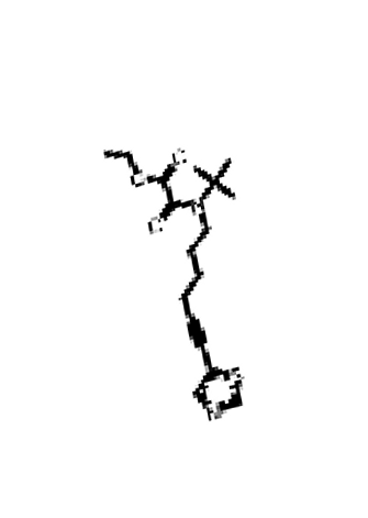 CCOC(=O)C(=O)N(CCCCC#Cc1cncs1)C(C)(C)C